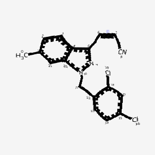 Cc1ccc2c(/C=C\C#N)nn(Cc3ccc(Cl)cc3Cl)c2c1